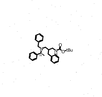 C[C@@H](c1ccccc1)N(Cc1ccccc1)CC(CNC(=O)OC(C)(C)C)Cc1ccccc1